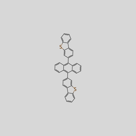 c1ccc2c(c1)sc1cc(-c3c4ccccc4c(-c4ccc5c(c4)sc4ccccc45)c4ccccc34)ccc12